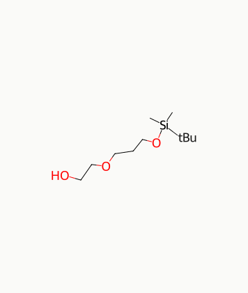 CC(C)(C)[Si](C)(C)OCCCOCCO